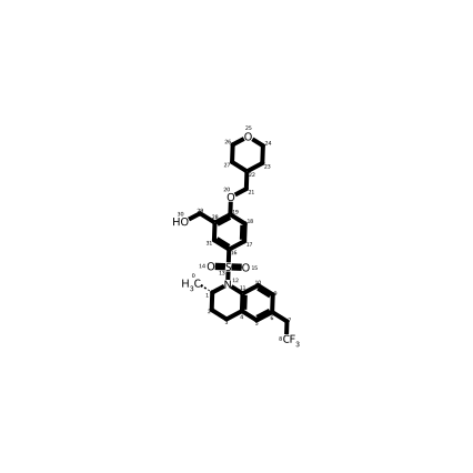 C[C@H]1CCc2cc(CC(F)(F)F)ccc2N1S(=O)(=O)c1ccc(OCC2CCOCC2)c(CO)c1